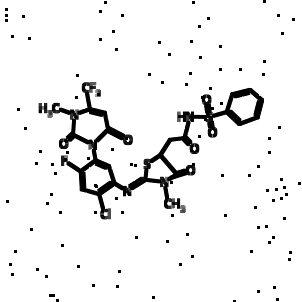 CN1C(=O)C(CC(=O)NS(=O)(=O)c2ccccc2)S/C1=N\c1cc(-n2c(=O)cc(C(F)(F)F)n(C)c2=O)c(F)cc1Cl